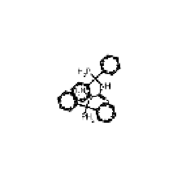 NN(C(=S)NC(P)(c1ccccc1)c1ccccc1)C(P)(c1ccccc1)c1ccccc1